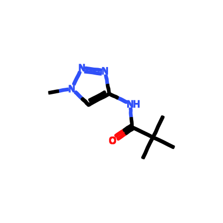 Cn1cc(NC(=O)C(C)(C)C)nn1